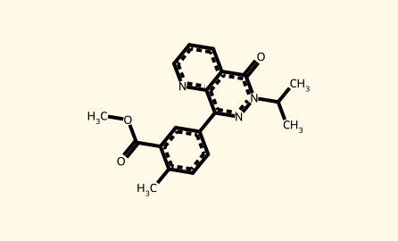 COC(=O)c1cc(-c2nn(C(C)C)c(=O)c3cccnc23)ccc1C